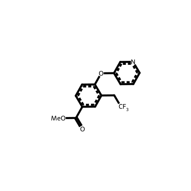 COC(=O)c1ccc(Oc2cccnc2)c(CC(F)(F)F)c1